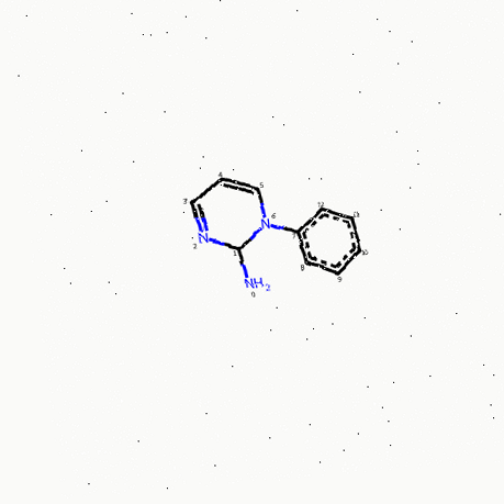 NC1N=CC=CN1c1ccccc1